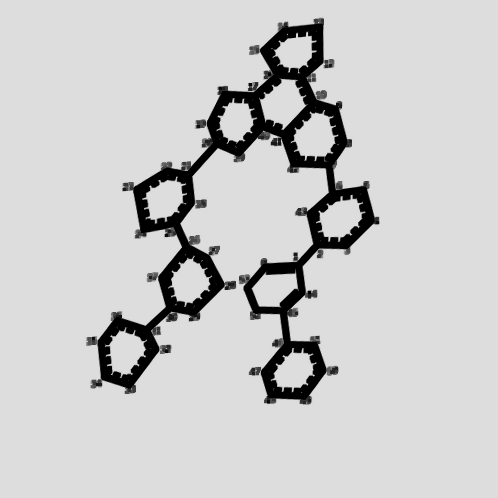 C1=C(c2cccc(-c3ccc4c5ccccc5c5ccc(-c6cccc(-c7cccc(-c8ccccc8)c7)c6)cc5c4c3)c2)C=C(c2ccccc2)CC1